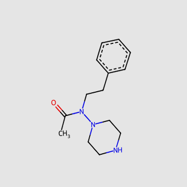 CC(=O)N(CCc1ccccc1)N1CCNCC1